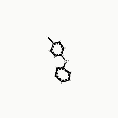 Ic1ccc(Oc2ccccc2)cc1